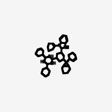 C1=CC2NC(C3CC(C4NC(C5CC=CCC5)NC(C5CCCCC5)N4)CC([N+]4(C5C=CCCC5)C5=C4CCCC5)C3)N(C3=CCCCC3)C2C=C1